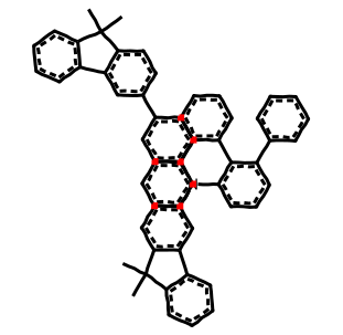 CC1(C)c2ccccc2-c2cc(-c3ccc(N(c4ccc5c(c4)-c4ccccc4C5(C)C)c4cccc(-c5ccccc5)c4-c4ccccc4-c4ccccc4)cc3)ccc21